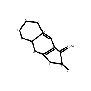 CC1CC2=C(C=C3CCCCC3C2)C1=O